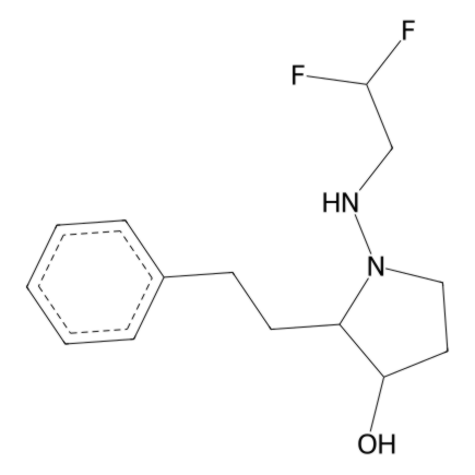 OC1CCN(NCC(F)F)C1CCc1ccccc1